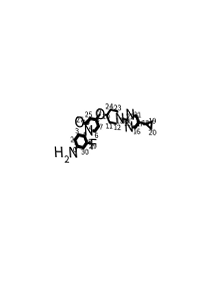 Nc1ccc(-n2ccc(OC3CCN(c4ncc(C5CC5)cn4)CC3)cc2=O)c(F)c1